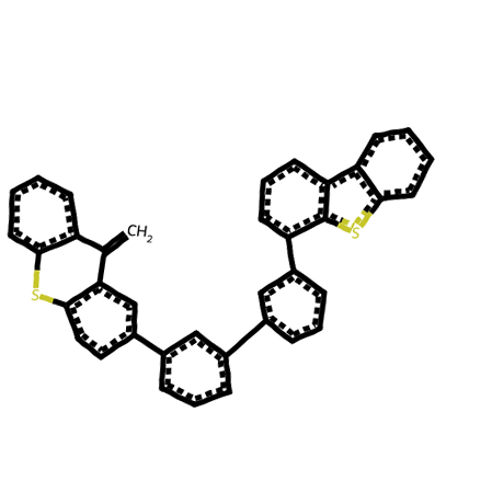 C=C1c2ccccc2Sc2ccc(-c3cccc(-c4cccc(-c5cccc6c5sc5ccccc56)c4)c3)cc21